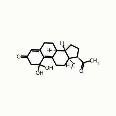 CC(=O)[C@@H]1CC[C@H]2[C@@H]3CCC4=CC(=O)CC(O)(O)C4=C3CC[C@]12C